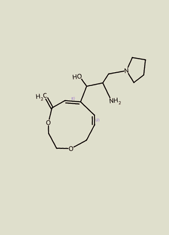 C=C1/C=C(C(O)C(N)CN2CCCC2)\C=C/COCCO1